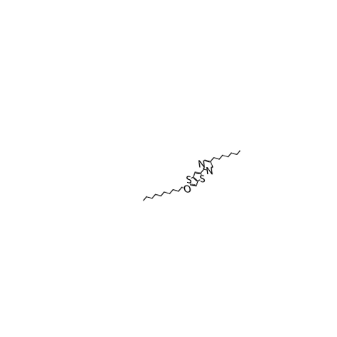 CCCCCCCCCCOc1cc2sc(-c3ncc(CCCCCCC)cn3)cc2s1